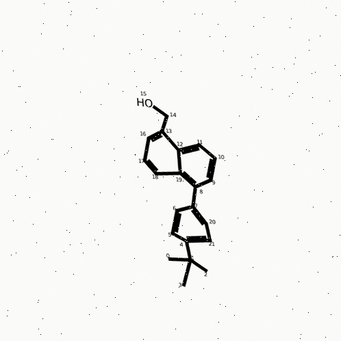 CC(C)(C)c1ccc(-c2cccc3c(CO)cccc23)cc1